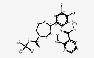 COC(=O)c1cccnc1OC[C@@H]1CN(C(=O)OC(C)(C)C)CCO[C@H]1c1ccc(Cl)c(F)c1